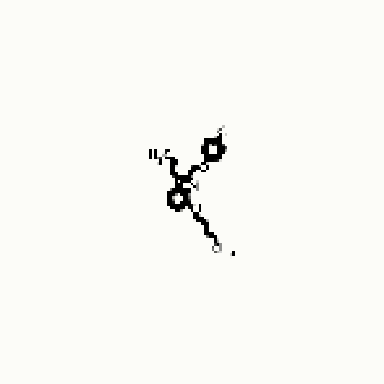 CCCCCOc1cccc2c1nc(COc1ccc(Cl)cc1)n2CCC